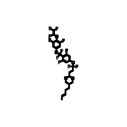 C/C=C/CCC1COC(CCC(F)(F)Oc2cc(F)c(C(F)(F)Oc3cc(F)c(OC(F)=C(F)F)c(F)c3)c(F)c2)OC1